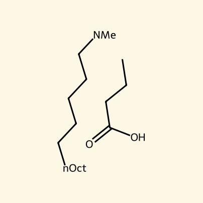 CCCC(=O)O.CCCCCCCCCCCCCNC